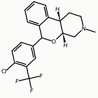 CN1CC[C@H]2c3ccccc3C(c3ccc(Cl)c(C(F)(F)F)c3)O[C@H]2C1